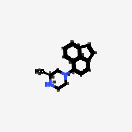 C[C@@H]1CN(c2ccc3c4c(cccc24)C=C3)CCN1